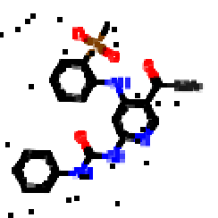 CNC(=O)c1cnc(NC(=O)Nc2ccccc2)cc1Nc1ccccc1S(C)(=O)=O